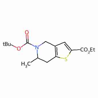 CCOC(=O)c1cc2c(s1)CC(C)N(C(=O)OC(C)(C)C)C2